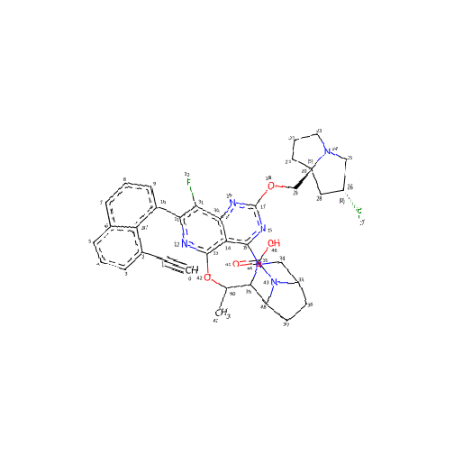 C#Cc1cccc2cccc(-c3nc4c5c(nc(OC[C@@]67CCCN6C[C@H](F)C7)nc5c3F)N3CC5CCC(C3C(C)O4)N5C(=O)O)c12